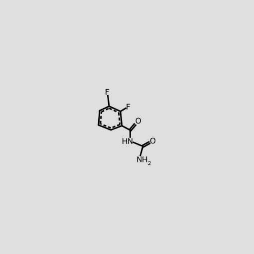 NC(=O)NC(=O)c1cccc(F)c1F